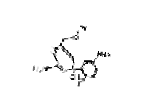 CC(=O)Nc1ccc(F)c([C@]2(C)C=C(COC(C)C)OC(N)=N2)c1